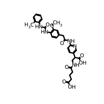 COc1cc(CC(=O)Nc2ccc(C(CNC(=O)CCCC(=O)O)C(=O)O)cn2)ccc1NC(=O)Nc1ccccc1C